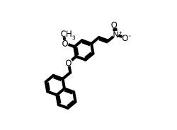 COc1cc(C=C[N+](=O)[O-])ccc1OCc1cccc2ccccc12